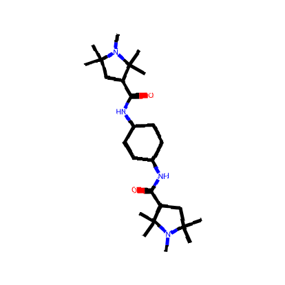 CN1C(C)(C)CC(C(=O)NC2CCC(NC(=O)C3CC(C)(C)N(C)C3(C)C)CC2)C1(C)C